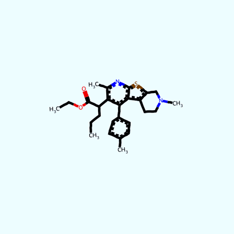 CCCC(C(=O)OCC)c1c(C)nc2sc3c(c2c1-c1ccc(C)cc1)CCN(C)C3